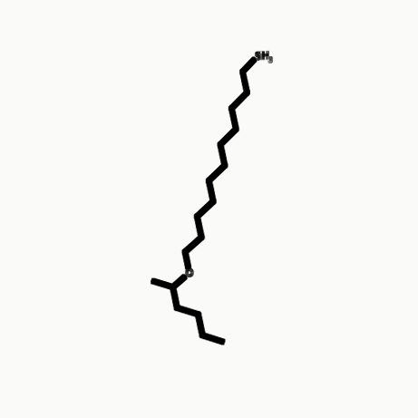 CCCCC(C)OCCCCCCCCCCC[SiH3]